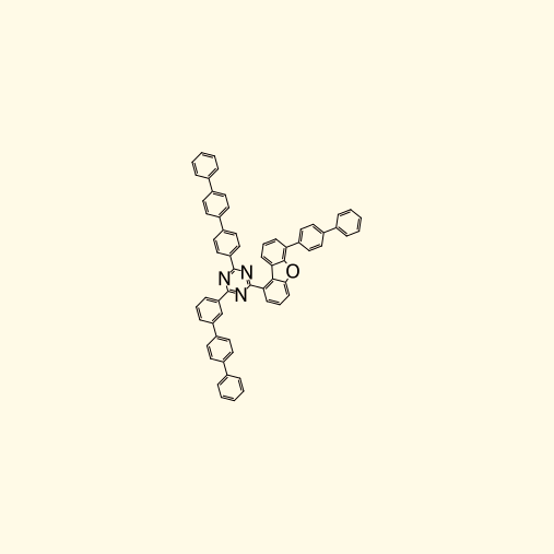 c1ccc(-c2ccc(-c3ccc(-c4nc(-c5cccc(-c6ccc(-c7ccccc7)cc6)c5)nc(-c5cccc6oc7c(-c8ccc(-c9ccccc9)cc8)cccc7c56)n4)cc3)cc2)cc1